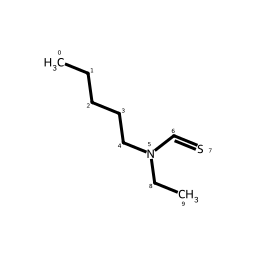 CCCCCN(C=S)CC